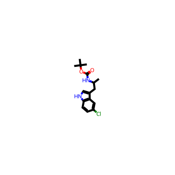 CC(Cc1c[nH]c2ccc(Cl)cc12)NC(=O)OC(C)(C)C